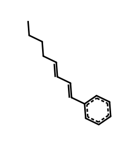 CCCCC=CC=Cc1ccccc1